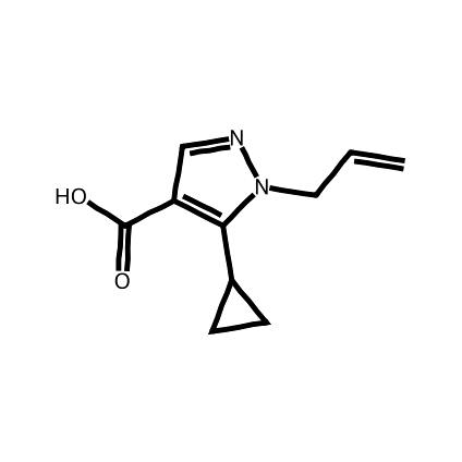 C=CCn1ncc(C(=O)O)c1C1CC1